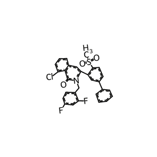 CS(=O)(=O)c1ccc(-c2ccccc2)cc1-c1cc2cccc(Cl)c2c(=O)n1Cc1ccc(F)cc1F